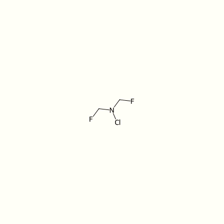 FCN(Cl)CF